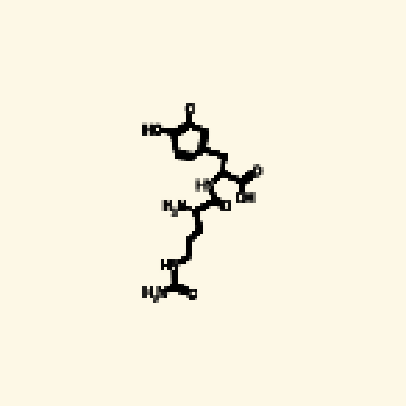 NC(=O)NCCC[C@H](N)C(=O)N[C@@H](Cc1ccc(O)c(Cl)c1)C(=O)O